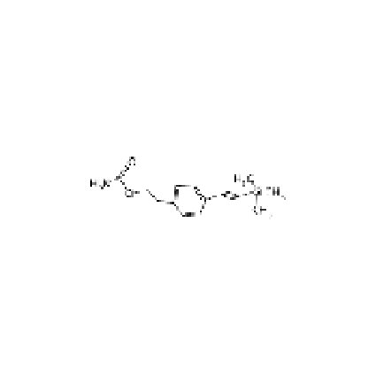 C[Si](C)(C)C#Cc1ccc(CCOC(N)=O)cc1